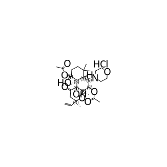 C=C[C@@]1(C)CC(=O)[C@]2(O)[C@]3(C)[C@@H]([C@H](N4CCOCC4)[C@H](OC(C)=O)[C@@]2(C)O1)C(C)(C)CC[C@@]3(O)OC(C)=O.Cl